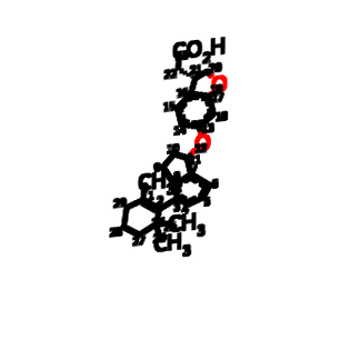 CC1=C(c2cccc3c2CC[C@H]3Oc2ccc3c(c2)OC[C@H]3CC(=O)O)C(C)(C)CCC1